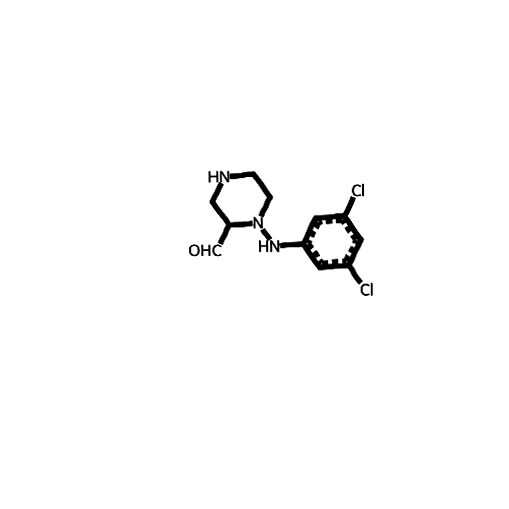 O=CC1CNCCN1Nc1cc(Cl)cc(Cl)c1